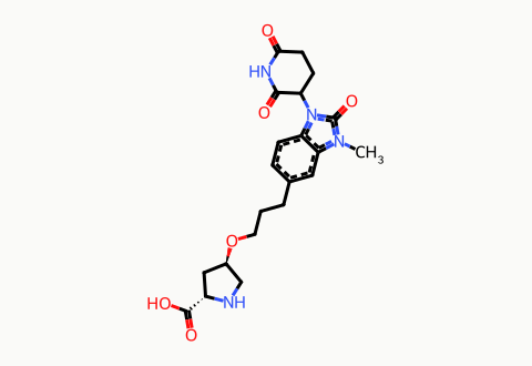 Cn1c(=O)n(C2CCC(=O)NC2=O)c2ccc(CCCO[C@H]3CN[C@H](C(=O)O)C3)cc21